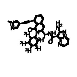 [2H]c1c([2H])c([2H])c(-n2c([C@H](C)NC(=O)c3c(N)nn4cccnc34)cc3cccc(C#Cc4cnn(C)c4)c3c2=O)c([2H])c1[2H]